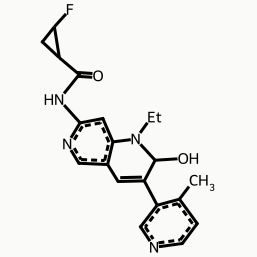 CCN1c2cc(NC(=O)C3CC3F)ncc2C=C(c2cnccc2C)C1O